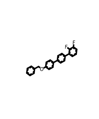 Fc1cccc(-c2ccc(-c3ccc(OCc4ccccc4)cc3)cc2)c1F